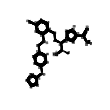 C[C@H](O)[C@@H](CCc1ccc(F)cc1OCc1ccc(Sc2cccs2)cc1)n1cnc(C(N)=O)c1